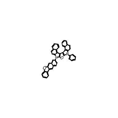 c1ccc(-n2c3ccc4ccccc4c3c3c4c5c6ccccc6ccc5n(-c5ccc6cc7c(cc6c5)oc5ccccc57)c4oc32)cc1